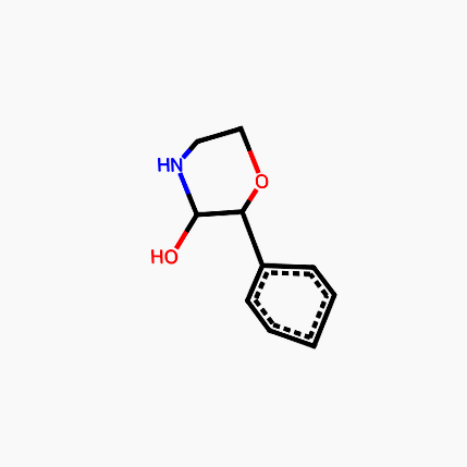 OC1NCCOC1c1ccccc1